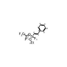 CCO[Si](F)(C=Cc1ccccc1)OC(F)C(F)(F)F